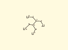 [Li][CH2]C([CH2][Li])C([CH2][Li])[CH2][Li]